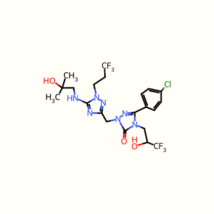 CC(C)(O)CNc1nc(Cn2nc(-c3ccc(Cl)cc3)n(CC(O)C(F)(F)F)c2=O)nn1CCC(F)(F)F